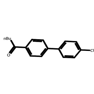 CCCCC(=O)c1ccc(-c2ccc(Cl)cc2)cc1